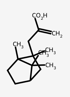 C=C(CC1(C)CC2CCC1(C)C2(C)C)C(=O)O